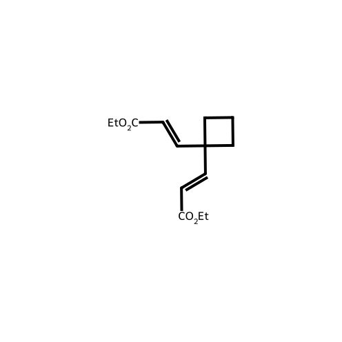 CCOC(=O)/C=C/C1(/C=C/C(=O)OCC)CCC1